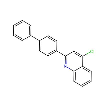 Clc1cc(-c2ccc(-c3ccccc3)cc2)nc2ccccc12